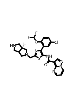 O=C(Nc1sc(CN2CC3CNC[C@H]3C2)nc1-c1cc(Cl)ccc1OC(F)F)c1cnn2cccnc12